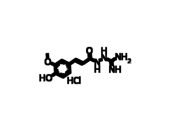 COc1cc(/C=C/C(=O)NNC(=N)N)ccc1O.Cl